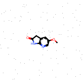 COc1cnc2c(c1)CC(=O)N2